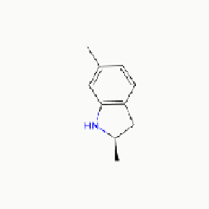 Cc1ccc2c(c1)N[C@H](C)C2